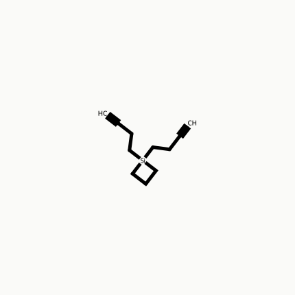 C#CCC[Si]1(CCC#C)CCC1